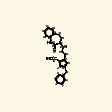 CCOC(=O)c1nn(Cc2ccccc2)cc1CCNC1CCc2ccccc2NC1=O